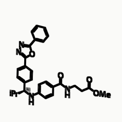 COC(=O)CCNC(=O)c1ccc(N[C@H](c2ccc(-c3nnc(-c4ccccc4)o3)cc2)C(C)C)cc1